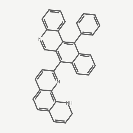 C1=Cc2ccc3ccc(-c4c5ccccc5c(-c5ccccc5)c5c4cnc4ccccc45)nc3c2NC1